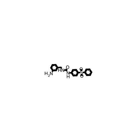 Nc1cccc(CNC(=O)Nc2ccc(S(=O)(=O)c3ccccc3)cc2)c1